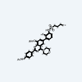 COc1cc(-c2cccc(NS(=O)(=O)CCCF)c2F)cc2c(N3CCOCC3)nc(-c3ccc(NC(C)=O)cc3)nc12